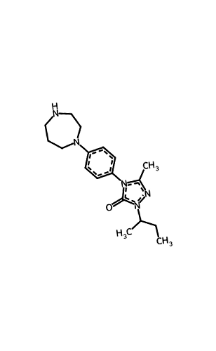 CCC(C)n1nc(C)n(-c2ccc(N3CCCNCC3)cc2)c1=O